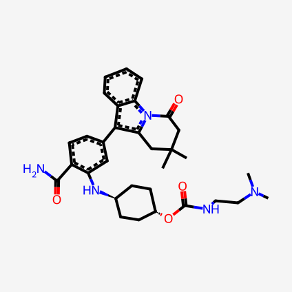 CN(C)CCNC(=O)O[C@H]1CC[C@H](Nc2cc(-c3c4n(c5ccccc35)C(=O)CC(C)(C)C4)ccc2C(N)=O)CC1